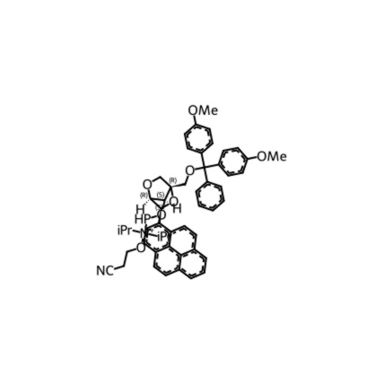 COc1ccc(C(OC[C@@]23CO[C@H]([C@H](c4ccc5ccc6cccc7ccc4c5c67)O2)[C@@H]3OP[N+](OCCC#N)(C(C)C)C(C)C)(c2ccccc2)c2ccc(OC)cc2)cc1